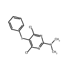 CN(C)c1nc(Cl)c(Sc2ccccc2)c(Cl)n1